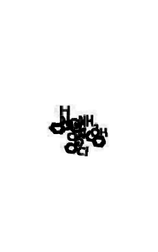 CC(Cc1c[nH]c2ccccc12)(C(N)=O)N(C(=O)OC1CCCCC1Cl)C(CO)Cc1ccccc1